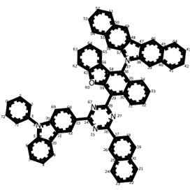 c1ccc(-n2c3ccccc3c3cc(-c4nc(-c5ccc6ccccc6c5)nc(-c5c6ccccc6c(-n6c7cc8ccccc8cc7c7cc8ccccc8cc76)c6c5oc5ccccc56)n4)ccc32)cc1